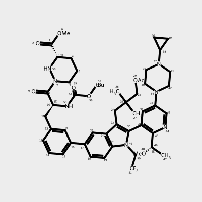 COC(=O)[C@@H]1CCCN(C(=O)[C@H](Cc2cccc(-c3ccc4c(c3)c(CC(C)(C)COC(C)=O)c(-c3cc(N5CCN(C6CC6)CC5)cnc3[C@H](C)OC)n4CC(F)(F)F)c2)NC(=O)OC(C)(C)C)N1